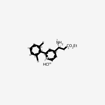 CCOC(=O)C[C@@H](N)c1ccnc(-c2c(C)cccc2C)c1.Cl